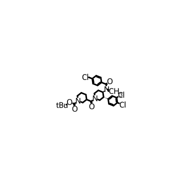 CN(C(=O)c1ccc(Cl)cc1)[C@@H]1CCN(C(=O)C2CCCN(C(=O)OC(C)(C)C)C2)C[C@H]1c1ccc(Cl)c(Cl)c1